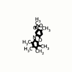 C=c1c(C)c(C)c2c(c1C)Oc1cc(C)c(S(C)(=O)=O)cc1N=2